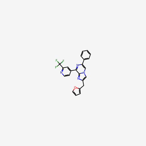 FC(F)(F)c1cc(-c2nc(-c3ccccc3)cn3cc(Cc4ccco4)nc23)ccn1